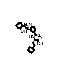 Nc1ccc(C(=O)N[C@@H](CCc2ccccc2)C(=O)O)cc1CCc1ccccc1O